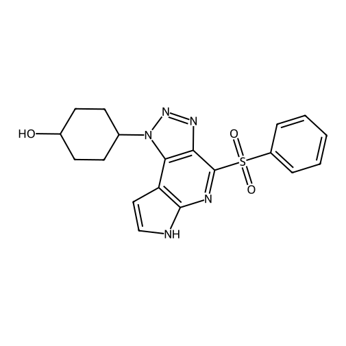 O=S(=O)(c1ccccc1)c1nc2[nH]ccc2c2c1nnn2C1CCC(O)CC1